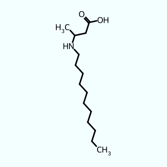 CCCCCCCCCCCNC(C)CC(=O)O